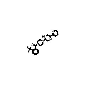 O=C(c1ccccc1C(F)(F)F)N1CCN(C2CNC(c3ccccn3)CN2)CC1